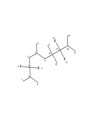 CC(CC(F)(F)C(C)C)CC(C)(C)C(F)(F)C(C)C